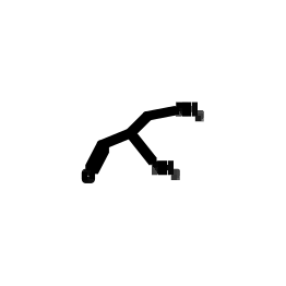 NCC(N)C=O